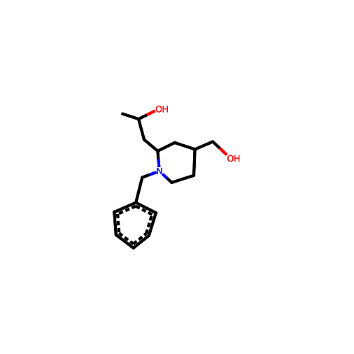 CC(O)CC1CC(CO)CCN1Cc1ccccc1